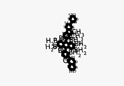 Bc1c(B)c(B)c2c(-c3ccc4oc5c6ccccc6ccc5c4c3)c3c(B)c(B)c(B)c(B)c3c(-c3ccc4c(c3)C(C)(C)c3cc(-c5ccccc5)ccc3-4)c2c1B